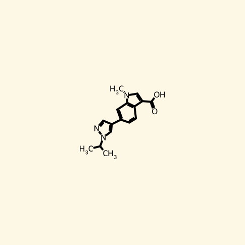 CC(C)n1cc(-c2ccc3c(C(=O)O)cn(C)c3c2)cn1